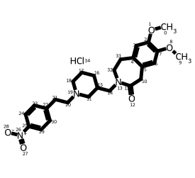 COc1cc2c(cc1OC)CC(=O)N(CC1CCCN(CCc3ccc([N+](=O)[O-])cc3)C1)CC2.Cl